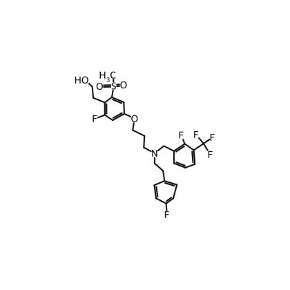 CS(=O)(=O)c1cc(OCCCN(CCc2ccc(F)cc2)Cc2cccc(C(F)(F)F)c2F)cc(F)c1CCO